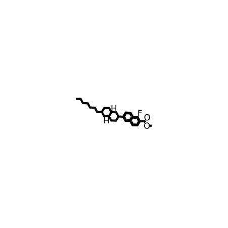 CCCCCCCC1CC[C@@H]2CC(c3ccc4c(F)c(C(=O)OC)ccc4c3)CC[C@H]2C1